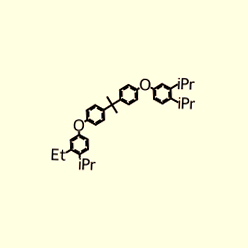 CCc1cc(Oc2ccc(C(C)(C)c3ccc(Oc4ccc(C(C)C)c(C(C)C)c4)cc3)cc2)ccc1C(C)C